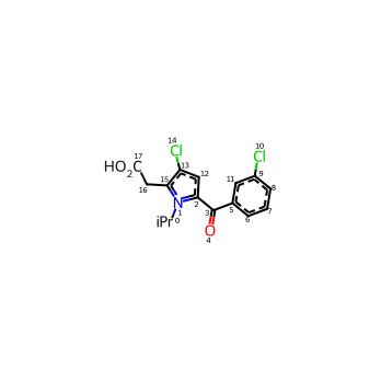 CC(C)n1c(C(=O)c2cccc(Cl)c2)cc(Cl)c1CC(=O)O